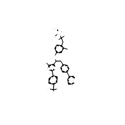 Cc1cc(SC(Cc2ccc(-c3ccccc3)cc2)c2sc(-c3ccc(C(F)(F)F)cc3)nc2C)ccc1CC(C)(C)[Si](C)(C)O